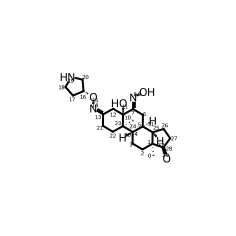 C[C@]12CC[C@H]3[C@@H](C/C(=N\O)[C@@]4(O)CC(=NO[C@@H]5CCNC5)CC[C@]34C)[C@@H]1CCC2=O